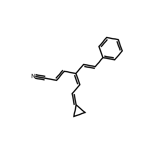 N#CC=CC(C=Cc1ccccc1)=CC=C1CC1